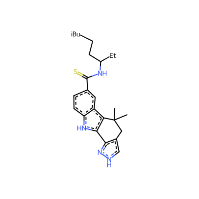 CCC(C)CCC(CC)NC(=S)c1ccc2[nH]c3c(c2c1)C(C)(C)Cc1c[nH]nc1-3